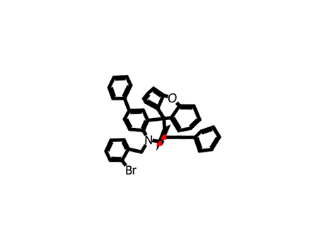 Brc1ccccc1CN1c2ccc(-c3ccccc3)cc2C2(c3ccccc3Oc3ccccc32)c2cc(-c3ccccc3)ccc21